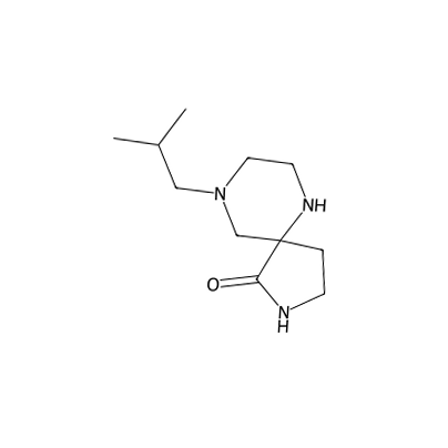 CC(C)CN1CCNC2(CCNC2=O)C1